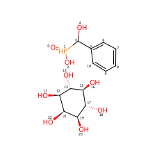 O=[PH](O)C(O)c1ccccc1.O[C@H]1[C@H](O)[C@@H](O)[C@H](O)[C@@H](O)[C@H]1O